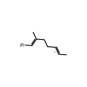 C/[C]=C/CCC(C)=CC(C)C